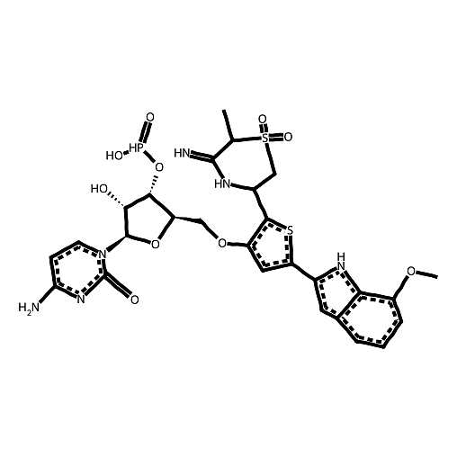 COc1cccc2cc(-c3cc(OC[C@H]4O[C@@H](n5ccc(N)nc5=O)[C@H](O)[C@@H]4O[PH](=O)O)c(C4CS(=O)(=O)C(C)C(=N)N4)s3)[nH]c12